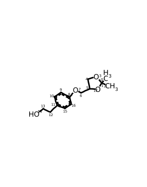 CC1(C)OCC(COc2ccc(CCO)cc2)O1